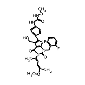 CONC(=O)Nc1ccc(-c2sc3c(c2CO)c(=O)n(/C(N)=C/C=C(\N)OC)c(=O)n3Cc2c(F)cccc2F)cc1